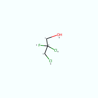 OCC(F)(Cl)CCl